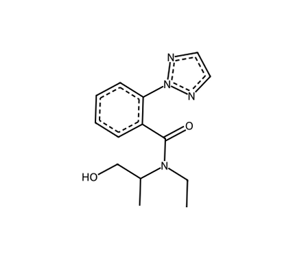 CCN(C(=O)c1ccccc1-n1nccn1)C(C)CO